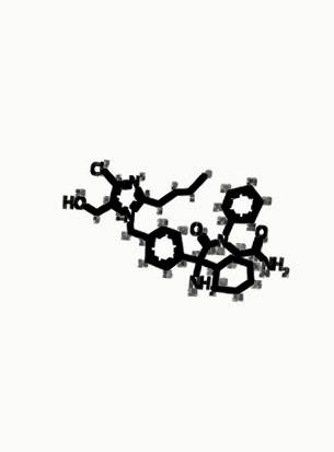 CCCCc1nc(Cl)c(CO)n1Cc1ccc(C(N)(C(=O)N(CC(N)=O)c2ccccc2)C2CCCCC2)cc1